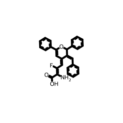 NC(C(=O)O)=C(F)C=C1C=C(c2ccccc2)OC(c2ccccc2)C1=Cc1ccccc1